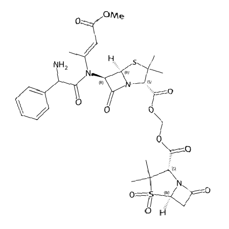 COC(=O)C=C(C)N(C(=O)C(N)c1ccccc1)[C@@H]1C(=O)N2[C@@H]1SC(C)(C)[C@@H]2C(=O)OCOC(=O)[C@@H]1N2C(=O)C[C@H]2S(=O)(=O)C1(C)C